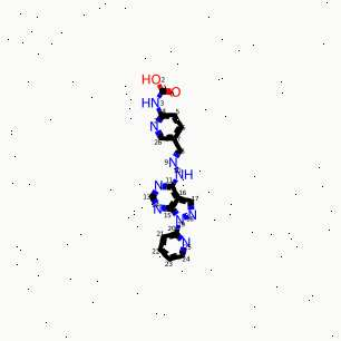 O=C(O)Nc1ccc(/C=N/Nc2ncnc3c2cnn3-c2ccccn2)cn1